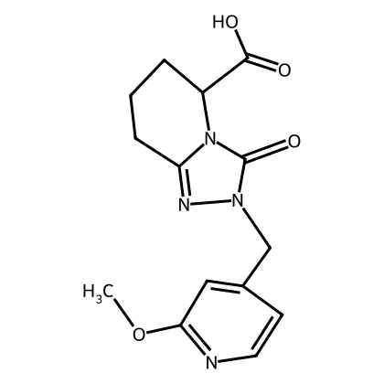 COc1cc(Cn2nc3n(c2=O)C(C(=O)O)CCC3)ccn1